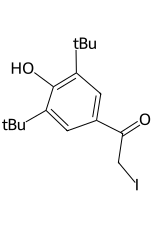 CC(C)(C)c1cc(C(=O)CI)cc(C(C)(C)C)c1O